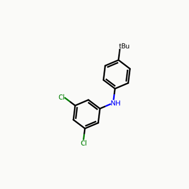 CC(C)(C)c1ccc(Nc2cc(Cl)cc(Cl)c2)cc1